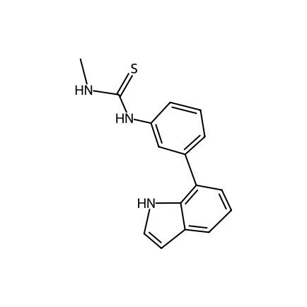 CNC(=S)Nc1cccc(-c2cccc3cc[nH]c23)c1